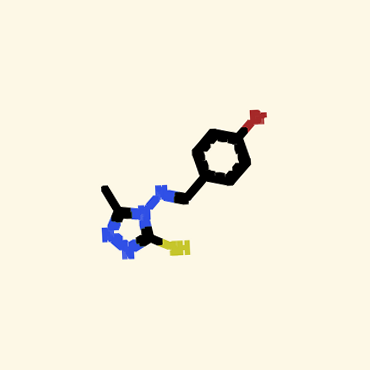 Cc1nnc(S)n1N=Cc1ccc(Br)cc1